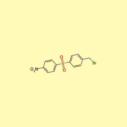 O=[N+]([O-])c1ccc(S(=O)(=O)c2ccc(CBr)cc2)cc1